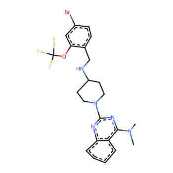 CN(C)c1nc(N2CCC(NCc3ccc(Br)cc3OC(F)(F)F)CC2)nc2ccccc12